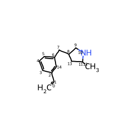 C=Cc1cccc(CC2CNC(C)C2)c1